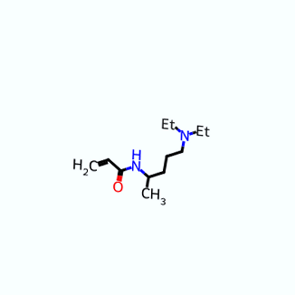 C=CC(=O)NC(C)CCCN(CC)CC